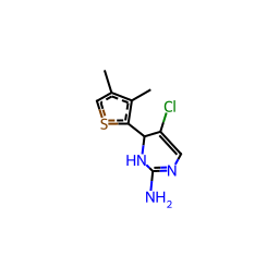 Cc1csc(C2NC(N)=NC=C2Cl)c1C